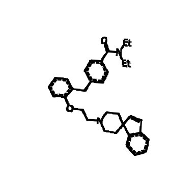 CCN(CC)C(=O)c1ccc(Cc2ccccc2OCCN2CCC3(C=Cc4ccccc43)CC2)cc1